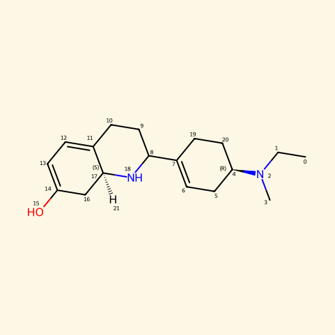 CCN(C)[C@H]1CC=C(C2CCC3=CC=C(O)C[C@@H]3N2)CC1